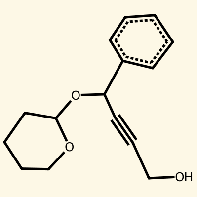 OCC#CC(OC1CCCCO1)c1ccccc1